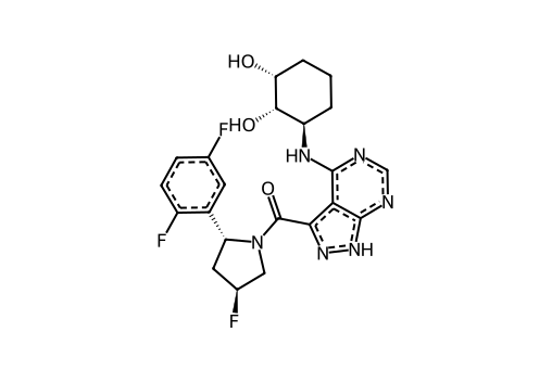 O=C(c1n[nH]c2ncnc(N[C@@H]3CCC[C@@H](O)[C@H]3O)c12)N1C[C@@H](F)C[C@@H]1c1cc(F)ccc1F